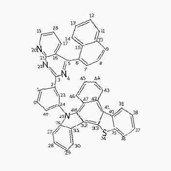 c1cc(-c2nc(-c3cccc4ccccc34)c3cccnc3n2)cc(-n2c3ccccc3c3c4sc5ccccc5c4c4ccccc4c32)c1